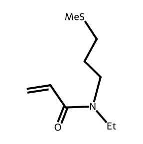 C=CC(=O)N(CC)CCCSC